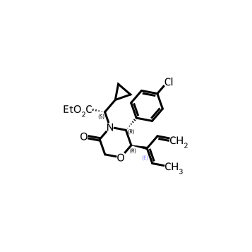 C=C/C(=C\C)[C@H]1OCC(=O)N([C@H](C(=O)OCC)C2CC2)[C@@H]1c1ccc(Cl)cc1